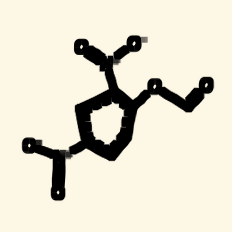 O=COc1ccc([N+](=O)[O-])cc1[N+](=O)[O-]